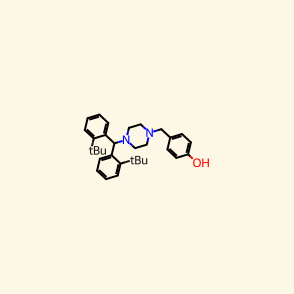 CC(C)(C)c1ccccc1C(c1ccccc1C(C)(C)C)N1CCN(Cc2ccc(O)cc2)CC1